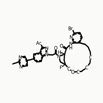 CC(=O)c1nn(CC(=O)N2C[C@@]3(F)COCCCCCCCCc4ccc(Br)nc4NC(=O)[C@@H]2C3)c2ccc(-c3cnc(C)nc3)cc12